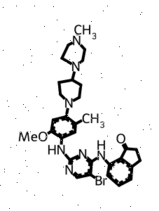 COc1cc(N2CCC(N3CCN(C)CC3)CC2)c(C)cc1Nc1ncc(Br)c(Nc2cccc3c2C(=O)CC3)n1